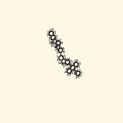 CC1(C)c2ccc(-c3ccc4c(c3)sc3c5c(ccc34)-c3cc4ccccc4cc3C5(C)C)cc2-c2ccc(-c3c4ccccc4c(-c4ccccc4)c4ccccc34)cc21